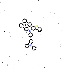 c1ccc(-n2c3ccccc3c3cc(-c4ccc(N(c5ccc6c(c5)C5(c7ccccc7-c7ccccc75)c5ccccc5-6)c5ccc6sc7ccccc7c6c5)cc4)ccc32)cc1